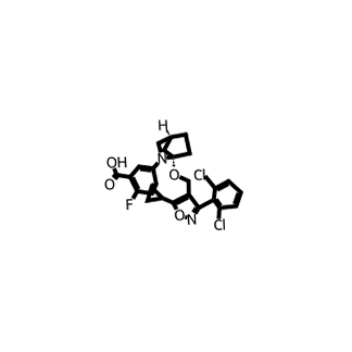 O=C(O)c1cc(N2C[C@H]3CC[C@]2(OCc2c(-c4c(Cl)cccc4Cl)noc2C2CC2)C3)ccc1F